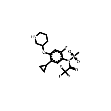 CS(=O)(=O)N(C(=O)C(F)(F)F)c1cc(C2CC2)c(OC2CCCNC2)cc1F